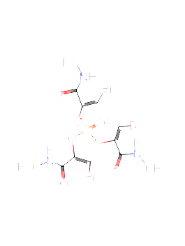 CNC(=O)/C(=C\Br)OP(=O)(O/C(=C/Br)C(=O)NC)O/C(=C/Br)C(=O)NC